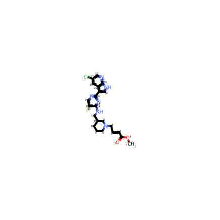 COC(=O)/C=C/CN1CCCC(CNc2nc(-c3c[nH]c4ncc(Cl)cc34)ncc2F)C1